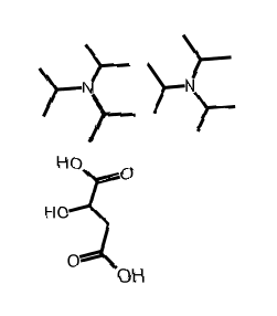 CC(C)N(C(C)C)C(C)C.CC(C)N(C(C)C)C(C)C.O=C(O)CC(O)C(=O)O